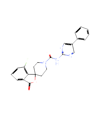 O=C1OC2(CCN(C(=O)Nc3ncc(-c4ccccc4)cn3)CC2)c2c(F)cccc21